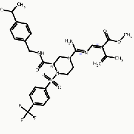 C=C(C)/C(=C\N=C(/N)N1CCN(S(=O)(=O)c2ccc(C(F)(F)F)cc2)[C@@H](C(=O)NCc2ccc(C(C)C)cc2)C1)C(=O)OC